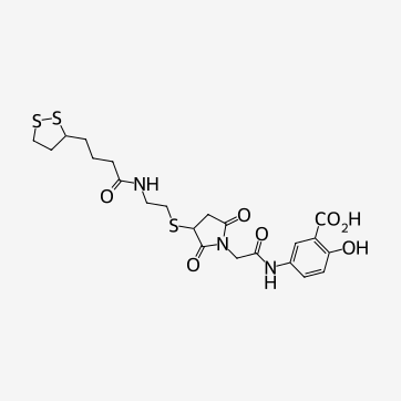 O=C(CCCC1CCSS1)NCCSC1CC(=O)N(CC(=O)Nc2ccc(O)c(C(=O)O)c2)C1=O